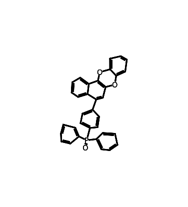 O=P(c1ccccc1)(c1ccccc1)c1ccc(-c2cc3c(c4ccccc24)Oc2ccccc2O3)cc1